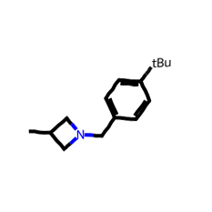 CC1CN(Cc2ccc(C(C)(C)C)cc2)C1